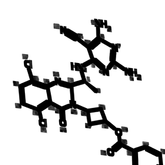 C[C@H](Nc1nc(N)nc(N)c1C#N)c1nc2c(Cl)ccc(Cl)c2c(=O)n1C1CC(OC(=O)c2ccccc2)C1